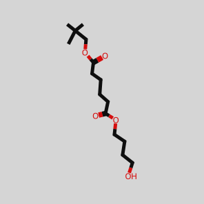 CC(C)(C)COC(=O)CCCCC(=O)OCCCCO